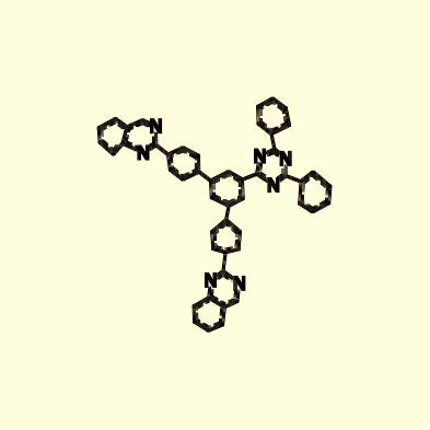 c1ccc(-c2nc(-c3ccccc3)nc(-c3cc(-c4ccc(-c5ncc6ccccc6n5)cc4)cc(-c4ccc(-c5ncc6ccccc6n5)cc4)c3)n2)cc1